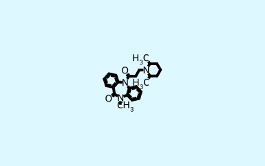 CC1CCCC(C)N1CCC(=O)N1c2ccccc2C(=O)N(C)c2ccccc21